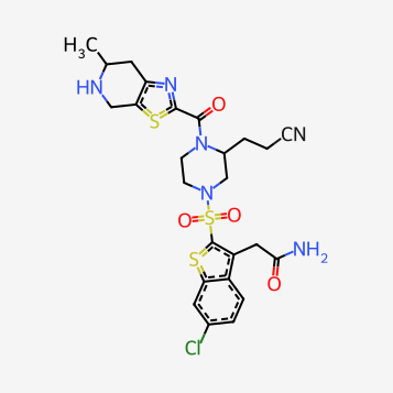 CC1Cc2nc(C(=O)N3CCN(S(=O)(=O)c4sc5cc(Cl)ccc5c4CC(N)=O)CC3CCC#N)sc2CN1